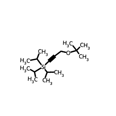 CC(C)[Si](C#CCOC(C)(C)C)(C(C)C)C(C)C